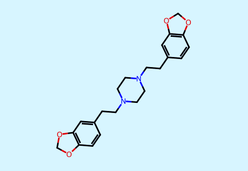 c1cc2c(cc1CCN1CCN(CCc3ccc4c(c3)OCO4)CC1)OCO2